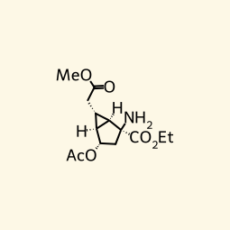 CCOC(=O)[C@]1(N)C[C@H](OC(C)=O)[C@H]2[C@H](CC(=O)OC)[C@H]21